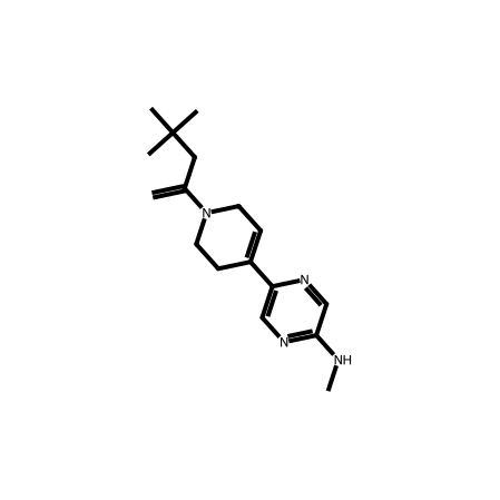 C=C(CC(C)(C)C)N1CC=C(c2cnc(NC)cn2)CC1